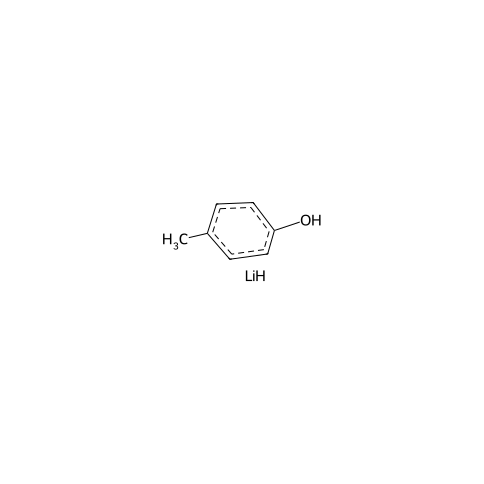 Cc1ccc(O)cc1.[LiH]